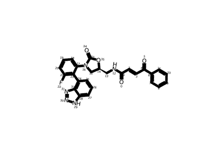 O=C(C=CC(=O)c1ccccc1)NC[C@H]1CN(c2cccc(F)c2-c2cccc3[nH]nnc23)C(=O)O1